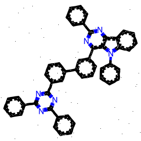 c1ccc(-c2nc(-c3ccccc3)nc(-c3cccc(-c4cccc(-c5nc(-c6ccccc6)nc6c7ccccc7n(-c7ccccc7)c56)c4)c3)n2)cc1